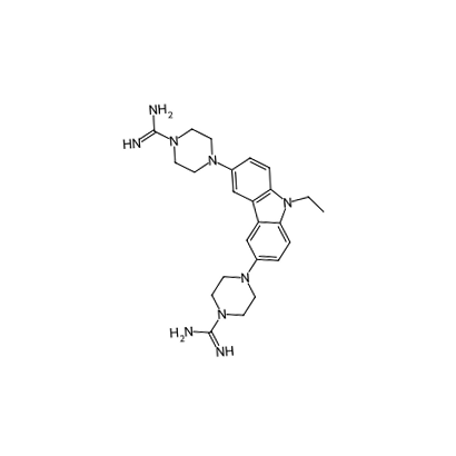 CCn1c2ccc(N3CCN(C(=N)N)CC3)cc2c2cc(N3CCN(C(=N)N)CC3)ccc21